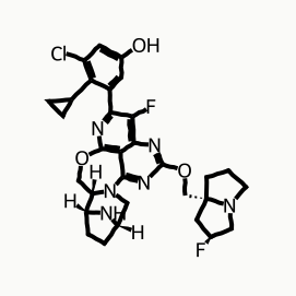 Oc1cc(Cl)c(C2CC2)c(-c2nc3c4c(nc(OC[C@]56CCCN5C[C@@H](F)C6)nc4c2F)N2C[C@@H]4CC[C@@H](N4)[C@@H]2CO3)c1